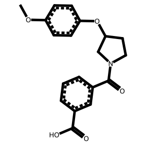 COc1ccc(OC2CCN(C(=O)c3cccc(C(=O)O)c3)C2)cc1